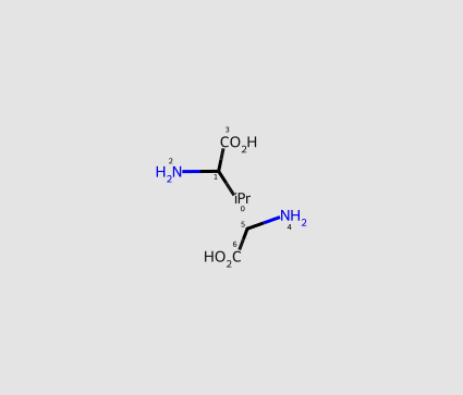 CC(C)C(N)C(=O)O.NCC(=O)O